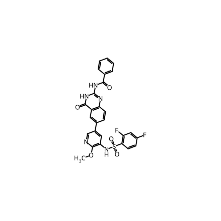 COc1ncc(-c2ccc3nc(NC(=O)c4ccccc4)[nH]c(=O)c3c2)cc1NS(=O)(=O)c1ccc(F)cc1F